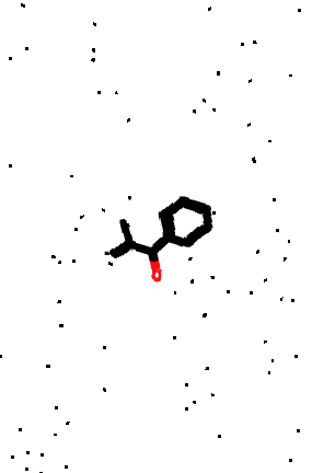 [CH2]C(C)C(=O)c1ccccc1